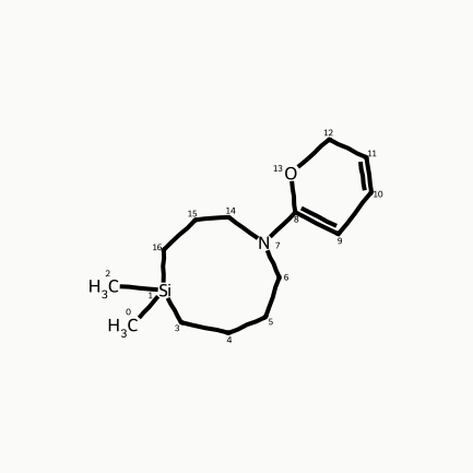 C[Si]1(C)CCCCN(C2=CC=CCO2)CCC1